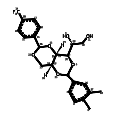 Cc1ccc(C2O[C@H]([C@H](O)CO)[C@@H]3OC(c4ccc(C(F)(F)F)cc4)OC[C@@H]3O2)cc1C